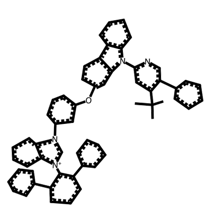 CC(C)(C)c1cc(-n2c3ccccc3c3ccc(Oc4cccc(-n5c[n+](-c6c(-c7ccccc7)cccc6-c6ccccc6)c6ccccc65)c4)cc32)ncc1-c1ccccc1